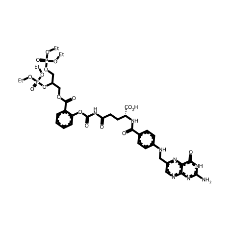 CCOP(=O)(OCC)OCC(COC(=O)c1ccccc1OC(=O)NC(=O)CC[C@@H](NC(=O)c1ccc(NCc2cnc3nc(N)[nH]c(=O)c3n2)cc1)C(=O)O)OP(=O)(OCC)OCC